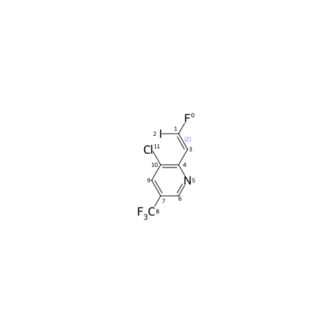 F/C(I)=C/c1ncc(C(F)(F)F)cc1Cl